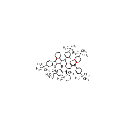 CC(C)(C)c1ccc(N(c2ccc(C(C)(C)C)cc2)c2cc3c4c(c2)N2c5c(cc(C(C)(C)C)cc5C5(C)CCCCC25C)B4c2c(ccc4c2sc2cc(C(C)(C)C)ccc24)N3c2c(-c3ccccc3)cc(C(C)(C)C)cc2-c2ccccc2)cc1